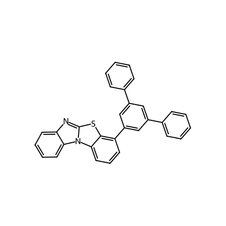 c1ccc(-c2cc(-c3ccccc3)cc(-c3cccc4c3sc3nc5ccccc5n34)c2)cc1